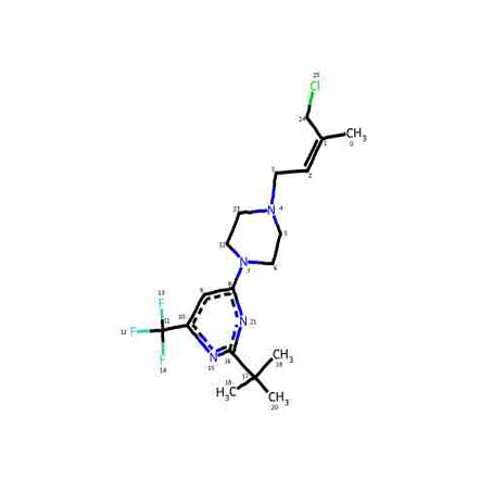 CC(=CCN1CCN(c2cc(C(F)(F)F)nc(C(C)(C)C)n2)CC1)CCl